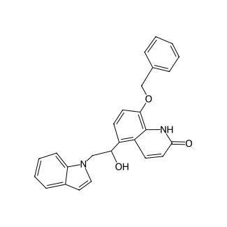 O=c1ccc2c(C(O)Cn3ccc4ccccc43)ccc(OCc3ccccc3)c2[nH]1